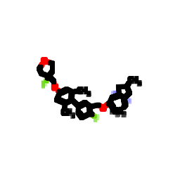 C=C(/C=C1/CC(C)C/C1=C/C)OCc1cc(-c2c(C)cc(OCC3(F)CCOCC3)cc2C)ccc1F